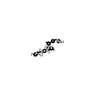 Cc1cc(-c2ccc(CN3CCNCC3)cc2)cc(-n2c(=O)n([C@H]3CC[C@@H](NC(=O)c4cn5cc(F)ccc5n4)CC3)c(=O)c3cc(F)cnc32)c1